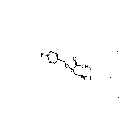 C#CCN(OCc1ccc(F)cc1)C(C)=O